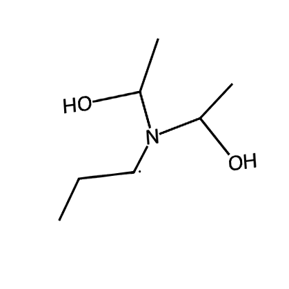 CC[CH]N(C(C)O)C(C)O